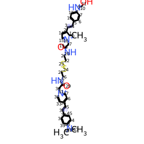 CC1C(/C=C/c2ccc(NCO)cc2)=CC=[N+]1CC(=O)NCCSSCCNC(=O)C[n+]1ccc(/C=C/c2ccc(N(C)C)cc2)cc1